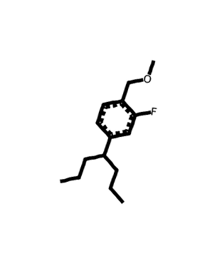 CCCC(CCC)c1ccc(COC)c(F)c1